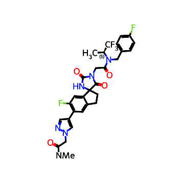 CNC(=O)Cn1cc(-c2cc3c(cc2F)C2(CC3)NC(=O)N(CC(=O)N(Cc3ccc(F)cc3)[C@@H](C)C(F)(F)F)C2=O)cn1